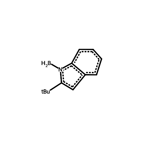 Bn1c(C(C)(C)C)cc2ccccc21